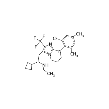 CCNC(Cc1c(C(F)(F)F)nc2n1CCCN2c1c(C)cc(C)cc1Cl)C1CCC1